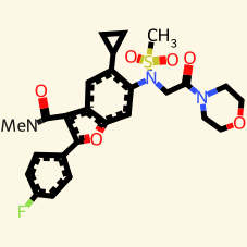 CNC(=O)c1c(-c2ccc(F)cc2)oc2cc(N(CC(=O)N3CCOCC3)S(C)(=O)=O)c(C3CC3)cc12